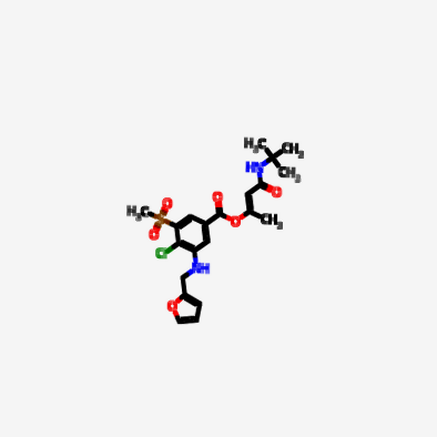 CC(=CC(=O)NC(C)(C)C)OC(=O)c1cc(NCc2ccco2)c(Cl)c(S(C)(=O)=O)c1